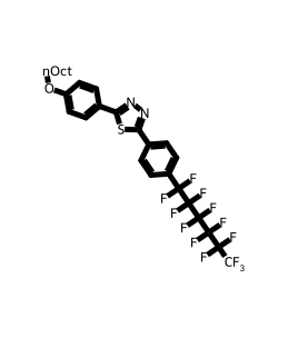 CCCCCCCCOc1ccc(-c2nnc(-c3ccc(C(F)(F)C(F)(F)C(F)(F)C(F)(F)C(F)(F)C(F)(F)F)cc3)s2)cc1